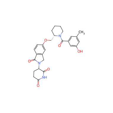 Cc1cc(O)cc(C(=O)N2CCCC[C@H]2COc2ccc3c(c2)CN(C2CCC(=O)NC2=O)C3=O)c1